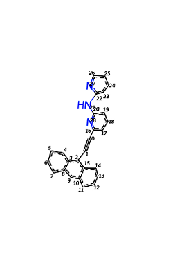 C(#Cc1c2ccccc2cc2ccccc12)c1cccc(Nc2ccccn2)n1